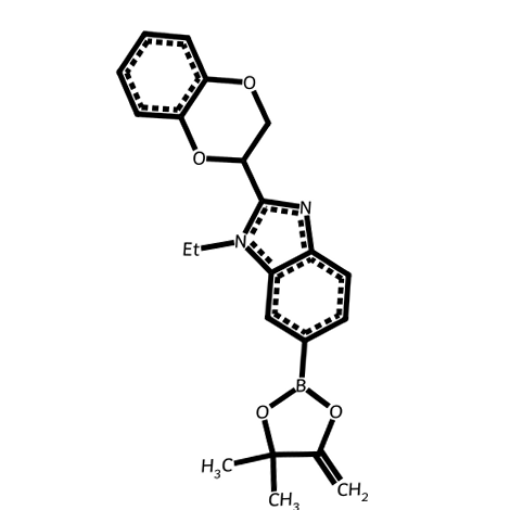 C=C1OB(c2ccc3nc(C4COc5ccccc5O4)n(CC)c3c2)OC1(C)C